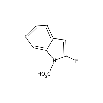 O=C(O)n1c(F)cc2ccccc21